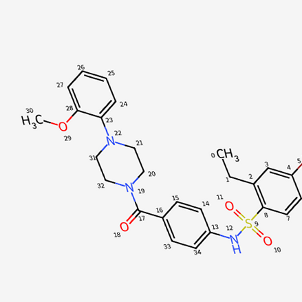 CCc1cc(Br)ccc1S(=O)(=O)Nc1ccc(C(=O)N2CCN(c3ccccc3OC)CC2)cc1